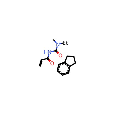 C=CC(=O)NC(=O)N(C)CC.c1ccc2c(c1)CCC2